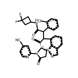 N#Cc1ccnc(N2C(=O)CC[C@H]2C(=O)C(c2cccc3cn[nH]c23)C(C(=O)NC2CC(F)(F)C2)c2ccccc2Cl)c1